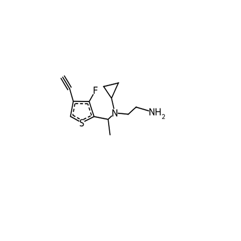 C#Cc1csc(C(C)N(CCN)C2CC2)c1F